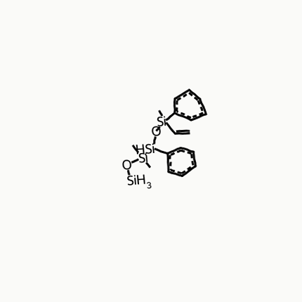 C=C[Si](C)(O[SiH](c1ccccc1)[Si](C)(C)O[SiH3])c1ccccc1